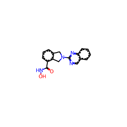 O=C(NO)c1cccc2c1CN(c1ncc3ccccc3n1)C2